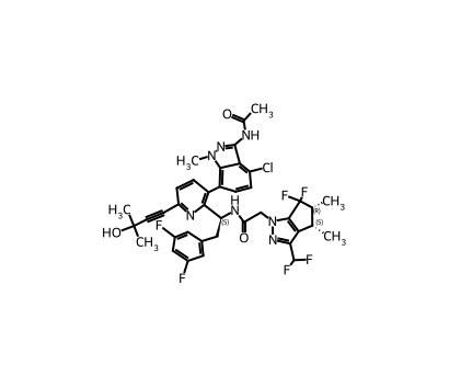 CC(=O)Nc1nn(C)c2c(-c3ccc(C#CC(C)(C)O)nc3[C@H](Cc3cc(F)cc(F)c3)NC(=O)Cn3nc(C(F)F)c4c3C(F)(F)[C@H](C)[C@@H]4C)ccc(Cl)c12